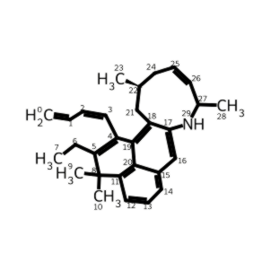 C=C/C=C\C1=C(CC)C(C)(C)c2cccc3cc4c(c1c23)C[C@@H](C)C/C=C\C(C)N4